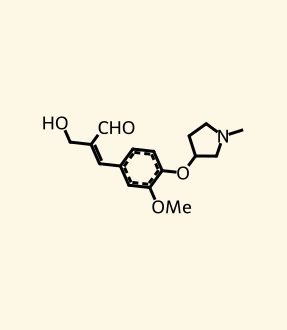 COc1cc(/C=C(\C=O)CO)ccc1OC1CCN(C)C1